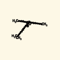 CCCCCCCCCCCCCC(=O)OC(CCCCCCCCCCC)CCC(=O)CCCCCCCCCCCCCCC(C)C